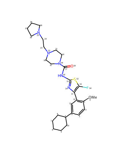 COc1ccc(C2CCCCC2)cc1-c1nc(NC(=O)N2CCN(CCN3CCCC3)CC2)sc1F